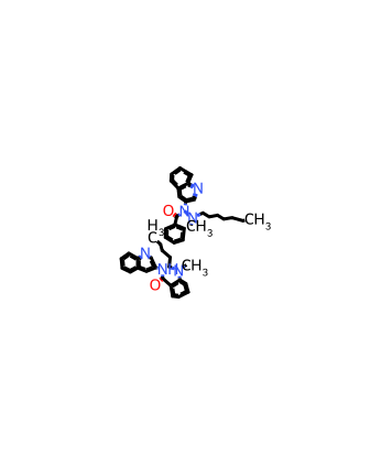 CCCCCCCN(C)N(C(=O)c1ccccc1)c1cnc2ccccc2c1.CCCCCN(C)c1ccccc1C(=O)Nc1cnc2ccccc2c1